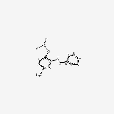 Cc1ccc(OC(F)F)c(OCc2ccccc2)c1